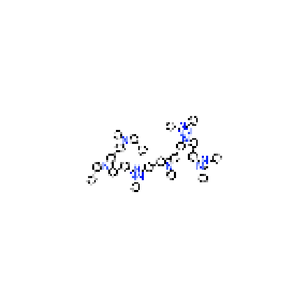 c1ccc(-c2cccc(-n3c4ccccc4c4cc(-c5ccc6c(c5)c5c(-c7cccc(-c8nc(-c9ccccc9)nc(-c9ccc(-c%10ccc%11c%12cc(-c%13ccc%14c(c%13)c%13c(-c%15cccc(-c%16nc(-c%17ccccc%17)cc(-c%17ccccc%17)n%16)c%15)cccc%13n%14-c%13nc(-c%14ccccc%14)nc(-c%14ccccc%14)n%13)ccc%12n(-c%12ccccc%12)c%11c%10)cc9)n8)c7)cccc5n6-c5cccc(-c6ccccc6)c5)ccc43)c2)cc1